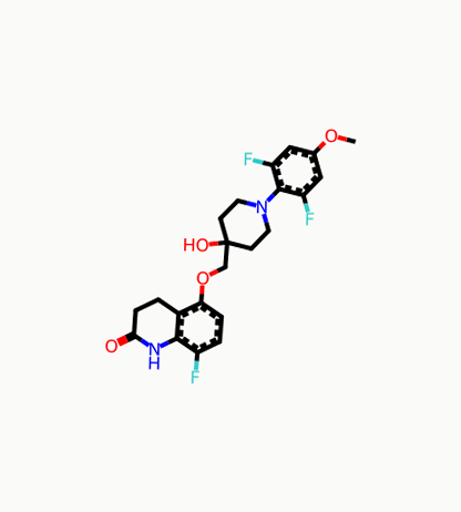 COc1cc(F)c(N2CCC(O)(COc3ccc(F)c4c3CCC(=O)N4)CC2)c(F)c1